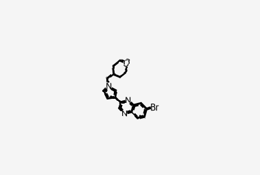 Brc1ccc2ncc(-c3ccn(CC4CCOCC4)c3)nc2c1